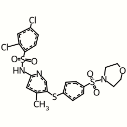 Cc1cc(NS(=O)(=O)c2ccc(Cl)cc2Cl)ncc1Sc1ccc(S(=O)(=O)N2CCOCC2)cc1